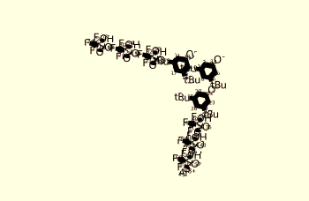 CC(C)(C)c1cc([O-])cc(C(C)(C)C)c1.CC(C)(C)c1cc([O-])cc(C(C)(C)C)c1.CC(C)(C)c1cc([O-])cc(C(C)(C)C)c1.O=S(=O)(O)C(F)(F)F.O=S(=O)(O)C(F)(F)F.O=S(=O)(O)C(F)(F)F.O=S(=O)(O)C(F)(F)F.O=S(=O)(O)C(F)(F)F.O=S(=O)(O)C(F)(F)F.[Al+3]